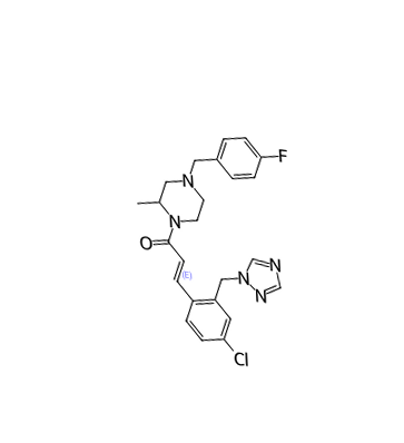 CC1CN(Cc2ccc(F)cc2)CCN1C(=O)/C=C/c1ccc(Cl)cc1Cn1cncn1